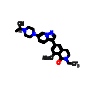 COc1cc(-c2cnn3cc(N4CCN([C@@H](C)C#N)CC4)ccc23)cc2c1C(=O)N(CC(F)(F)F)CC2